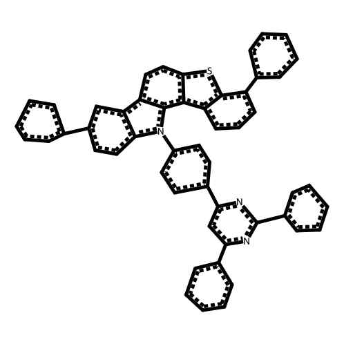 c1ccc(-c2ccc3c(c2)c2ccc4sc5c(-c6ccccc6)cccc5c4c2n3-c2ccc(-c3cc(-c4ccccc4)nc(-c4ccccc4)n3)cc2)cc1